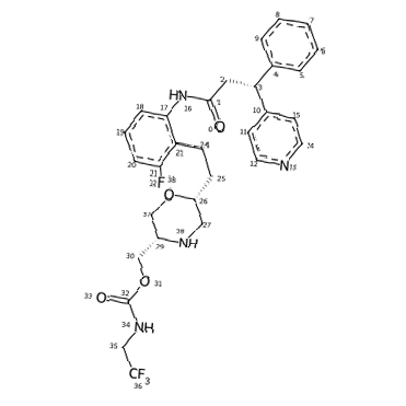 O=C(C[C@H](c1ccccc1)c1ccncc1)Nc1cccc(F)c1CC[C@@H]1CN[C@H](COC(=O)NCC(F)(F)F)CO1